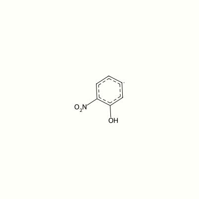 O=[N+]([O-])c1cc[c]cc1O